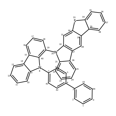 c1ccc(-c2ccc(-n3c4ccccc4c4cccc(-n5c6ccccc6c6cc7c(cc65)sc5ccccc57)c43)cc2)cc1